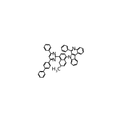 CC1C=Cc2c(-n3c4ccccc4c4c5ccccc5nc(-c5ccccc5)c43)ccc(-c3nc(-c4ccccc4)cc(-c4ccc(-c5ccccc5)cc4)n3)c2C1